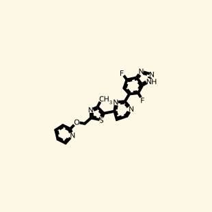 Cc1nc(COc2ccccn2)sc1-c1ccnc(-c2cc(F)c3nn[nH]c3c2F)n1